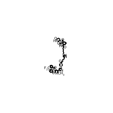 Cc1nc(OC2CCOCC2)c(NC(=O)c2cccc(C(F)(F)F)c2)cc1-c1cncc(N2CCN(C(=O)CCCc3cn(CCCCCC(=O)Nc4cccc5c4C(=O)N(C4CCC(=O)NC4=O)C5=O)nn3)CC2)c1